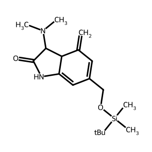 C=C1C=C(CO[Si](C)(C)C(C)(C)C)C=C2NC(=O)C(N(C)C)C12